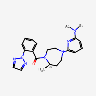 CCN(C(C)=O)c1cccc(N2CC[C@@H](C)N(C(=O)c3ccccc3-n3nccn3)CC2)n1